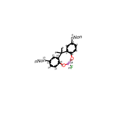 CCCCCCCCCc1ccc2c(c1)C(C)(C)c1cc(CCCCCCCCC)ccc1OP(F)O2